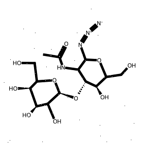 CC(=O)NC1C(N=[N+]=[N-])OC(CO)[C@@H](O)[C@@H]1O[C@@H]1OC(CO)[C@H](O)[C@H](O)C1O